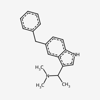 CC(c1c[nH]c2ccc(Cc3ccccc3)cc12)N(C)C